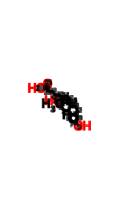 C[C@]12CC[C@@H]3c4ccc(O)cc4CC[C@H]3[C@@H]1CC[C@@]2(O)CCCCC(=O)O